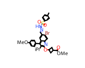 COC(=O)C1CC(Oc2nc3cc(Br)c(/C=N/NS(=O)(=O)c4ccc(C)cc4)cc3c(-c3ccc(OC)cc3)c2C(C)C)C1